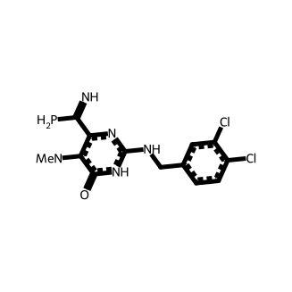 CNc1c(C(=N)P)nc(NCc2ccc(Cl)c(Cl)c2)[nH]c1=O